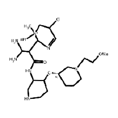 CCC[N+]1(C)CC(Cl)C=NC1C(C(=O)NC1CNCCC1O[C@H]1CCCN(CCOC)C1)C(N)N